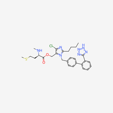 CCCCc1nc(Cl)c(COC(=O)[C@@H](CCSC)NC)n1Cc1ccc(-c2ccccc2-c2nn[nH]n2)cc1